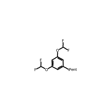 [CH2]C(CCC)c1cc(OC(F)F)cc(OC(F)F)c1